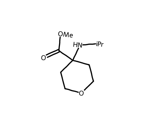 COC(=O)C1(NC(C)C)CCOCC1